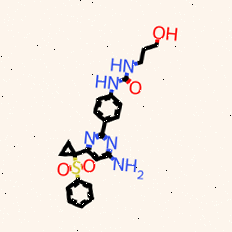 Nc1cc(C2(S(=O)(=O)c3ccccc3)CC2)nc(-c2ccc(NC(=O)NCCCO)cc2)n1